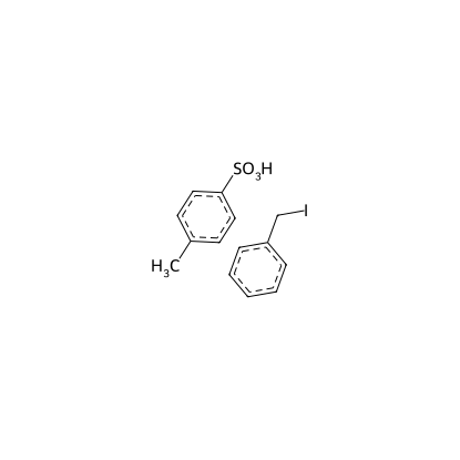 Cc1ccc(S(=O)(=O)O)cc1.ICc1ccccc1